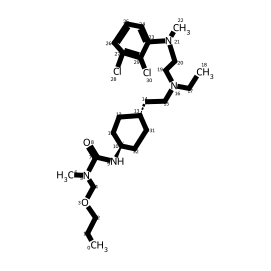 CCCOCN(C)C(=O)N[C@H]1CC[C@H](CCN(CC)CCN(C)c2cccc(Cl)c2Cl)CC1